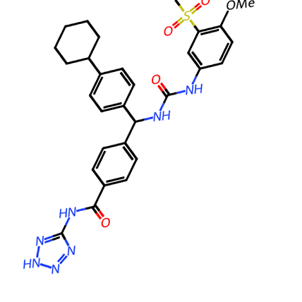 COc1ccc(NC(=O)NC(c2ccc(C(=O)Nc3nn[nH]n3)cc2)c2ccc(C3CCCCC3)cc2)cc1S(C)(=O)=O